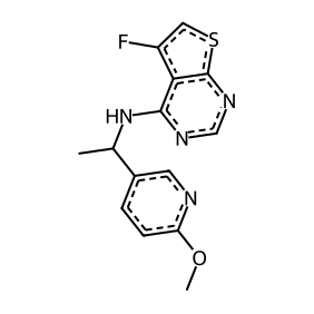 COc1ccc(C(C)Nc2ncnc3scc(F)c23)cn1